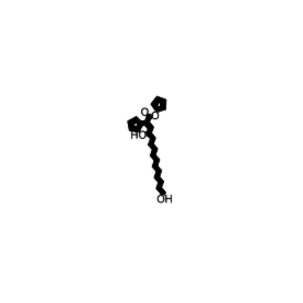 O=C(OC1C=CC=C1)C(=CC(O)CCCCCCCCCCCO)C1C=CC=C1